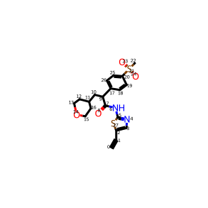 C#Cc1cnc(NC(=O)C(CC2CCOCC2)c2ccc(S(C)(=O)=O)cc2)s1